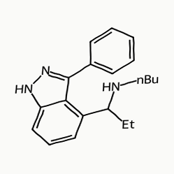 CCCCNC(CC)c1cccc2[nH]nc(-c3ccccc3)c12